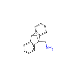 NCC12CC(c3ccccc31)c1ccccc12